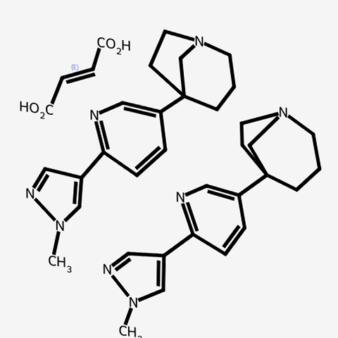 Cn1cc(-c2ccc(C34CCCN(CC3)C4)cn2)cn1.Cn1cc(-c2ccc(C34CCCN(CC3)C4)cn2)cn1.O=C(O)/C=C/C(=O)O